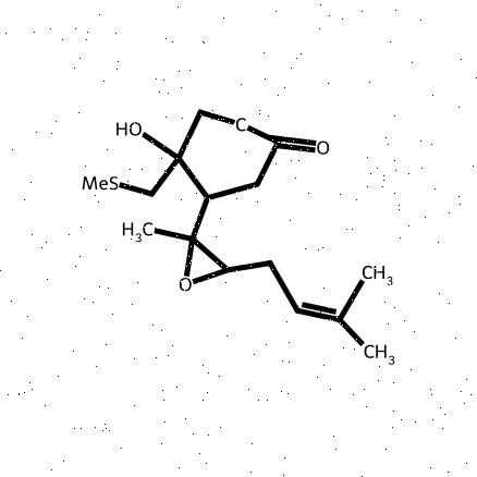 CSCC1(O)CCC(=O)CC1C1(C)OC1CC=C(C)C